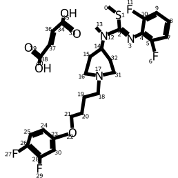 CSC(=Nc1c(F)cccc1F)N(C)C1CCN(CCCCOc2ccc(F)c(F)c2)CC1.O=C(O)C=CC(=O)O